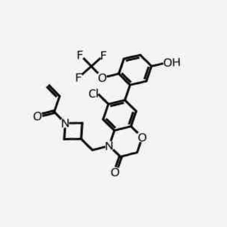 C=CC(=O)N1CC(CN2C(=O)COc3cc(-c4cc(O)ccc4OC(F)(F)F)c(Cl)cc32)C1